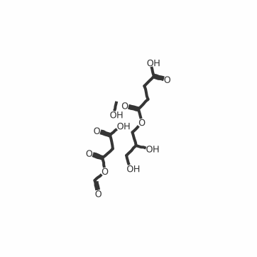 CO.O=C(O)CCC(=O)OCC(O)CO.O=COC(=O)CC(=O)O